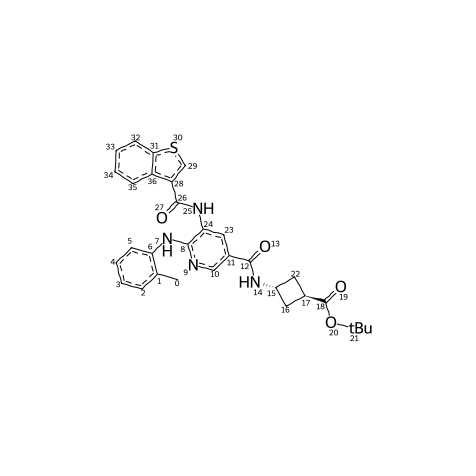 Cc1ccccc1Nc1ncc(C(=O)N[C@H]2C[C@H](C(=O)OC(C)(C)C)C2)cc1NC(=O)c1csc2ccccc12